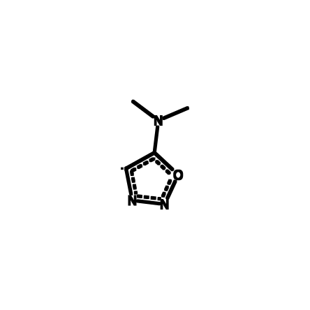 CN(C)c1[c]nno1